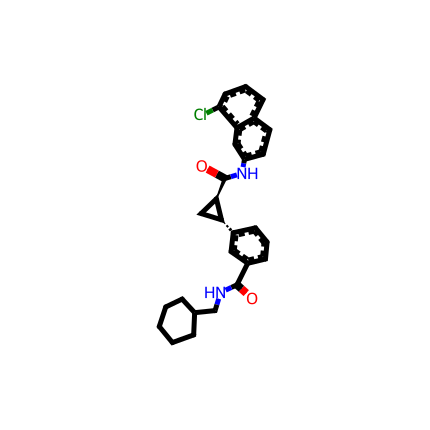 O=C(NCC1CCCCC1)c1cccc([C@@H]2C[C@H]2C(=O)Nc2ccc3cccc(Cl)c3c2)c1